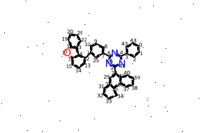 c1ccc(-c2nc(-c3cccc(-c4cccc5oc6ccccc6c45)c3)nc(-c3cc4ccccc4c4ccccc34)n2)cc1